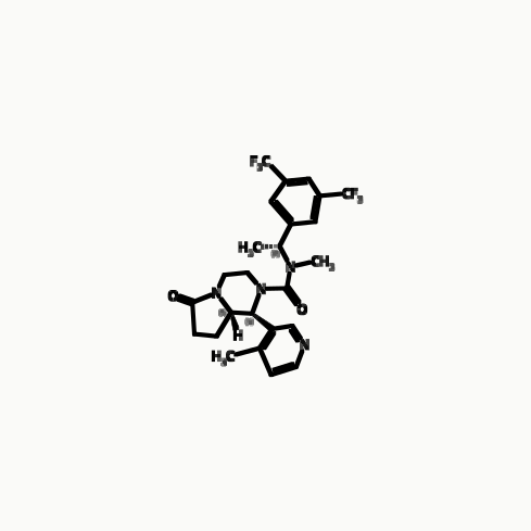 Cc1ccncc1[C@H]1[C@@H]2CCC(=O)N2CCN1C(=O)N(C)[C@H](C)c1cc(C(F)(F)F)cc(C(F)(F)F)c1